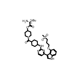 CC[C@H](C)[C@@H](N)C(=O)OC1CCN(C(=O)C2CCC(Nc3nccc(-c4c[nH]c5cccc(OCCCS(C)(=O)=O)c45)n3)CC2)CC1